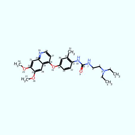 CCN(CC)CCNC(=O)Nc1ccc(Oc2ccnc3cc(OC)c(OC)cc23)cc1C